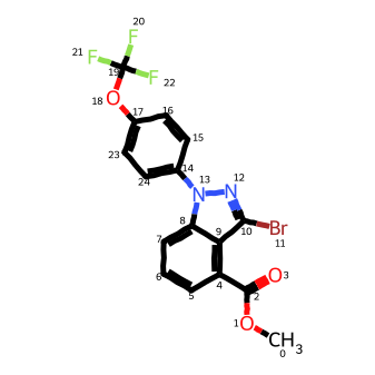 COC(=O)c1cccc2c1c(Br)nn2-c1ccc(OC(F)(F)F)cc1